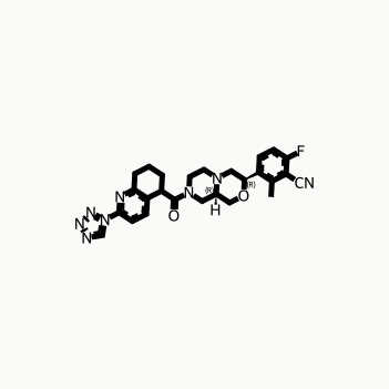 Cc1c([C@@H]2CN3CCN(C(=O)C4CCCc5nc(-n6cnnn6)ccc54)C[C@@H]3CO2)ccc(F)c1C#N